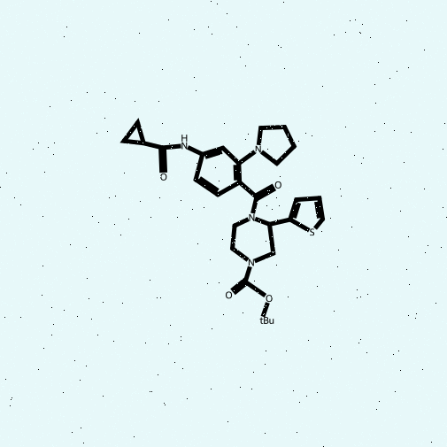 CC(C)(C)OC(=O)N1CCN(C(=O)c2ccc(NC(=O)C3CC3)cc2N2CCCC2)C(c2cccs2)C1